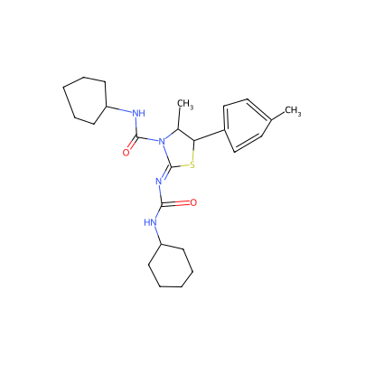 Cc1ccc(C2SC(=NC(=O)NC3CCCCC3)N(C(=O)NC3CCCCC3)C2C)cc1